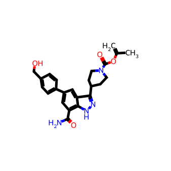 C=C(C)OC(=O)N1CCC(c2n[nH]c3c(C(N)=O)cc(-c4ccc(CO)cc4)cc23)CC1